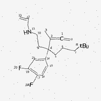 C=C=C(C)C(CCCC(C)(C)C)(CCNC=C)c1ccc(F)c(F)c1